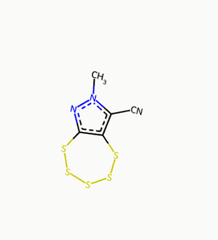 Cn1nc2c(c1C#N)SSSSS2